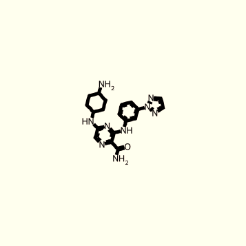 NC(=O)c1ncc(NC2CCC(N)CC2)nc1Nc1cccc(-n2nccn2)c1